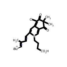 CC[C@H](C)/C=C(C)/C=C/C1=CC2=C(Cl)C(=O)C(C)(C)C(=O)C2=CN1CCCC(=O)O